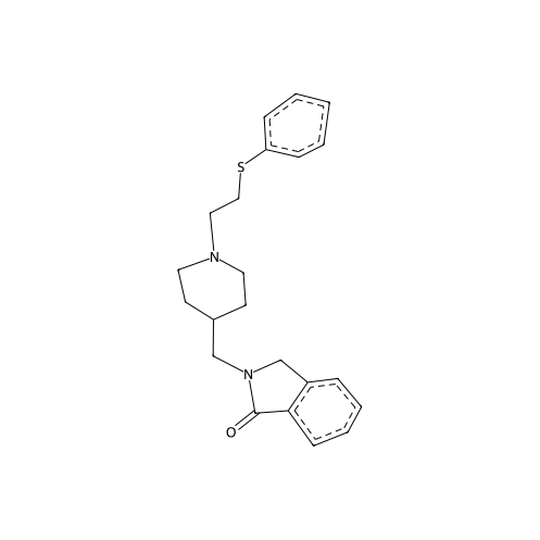 O=C1c2ccccc2CN1CC1CCN(CCSc2ccccc2)CC1